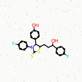 Oc1ccc(C2C(CCC(O)c3ccc(F)cc3)SC(=S)N2c2ccc(F)cc2)cc1